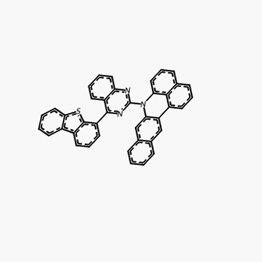 c1ccc2cc3c(cc2c1)-c1cccc2cccc(c12)N3c1nc(-c2cccc3c2sc2ccccc23)c2ccccc2n1